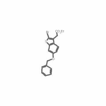 CCOC(=O)Cc1c(Br)sc2cc(OCc3ccccc3)ccc12